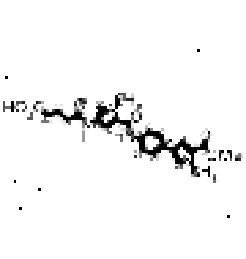 COC(=O)c1cc(-c2ccc(NC(=O)c3cc(NC(=O)CCCC(=O)O)cn3C)cc2)cn1C